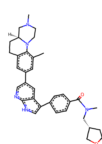 Cc1cc(-c2cnc3[nH]cc(-c4ccc(C(=O)N(C)C[C@@H]5CCOC5)cc4)c3c2)cc2c1N1CCN(C)C[C@@H]1CC2